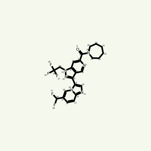 O=C(c1cc2c(cn1)c(-c1cnc3ccc(C(F)F)cn13)nn2CC(F)(F)F)N1CCCCCC1